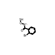 O=C([N+]OS)c1ccccc1Br